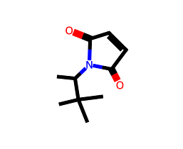 CC(N1C(=O)C=CC1=O)C(C)(C)C